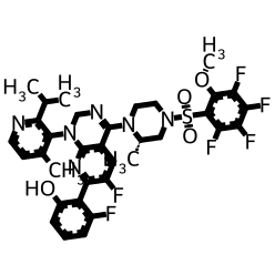 COc1c(F)c(F)c(F)c(F)c1S(=O)(=O)N1CCN(C2=NCN(c3c(C)ccnc3C(C)C)c3nc(-c4c(O)cccc4F)c(F)cc32)[C@@H](C)C1